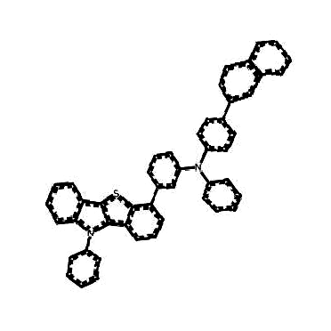 c1ccc(N(c2ccc(-c3ccc4ccccc4c3)cc2)c2cccc(-c3cccc4c3sc3c5ccccc5n(-c5ccccc5)c43)c2)cc1